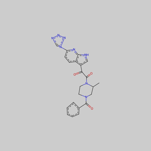 CC1CN(C(=O)c2ccccc2)CCN1C(=O)C(=O)c1c[nH]c2nc(-n3cnnn3)ccc12